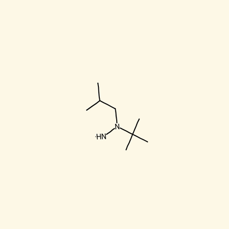 CC(C)CN([NH])C(C)(C)C